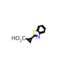 O=C(O)C1CC1c1nc2ccccc2s1